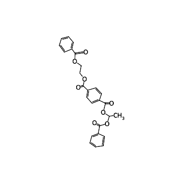 CC(OC(=O)c1ccccc1)OC(=O)c1ccc(C(=O)OCCOC(=O)c2ccccc2)cc1